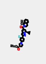 COC(=O)[C@H]1CCN(c2ccc(-c3cc4cc(C(=O)N5CCc6ccccc6[C@H]5C)cc(C5CC5)n4n3)c(F)c2)C1